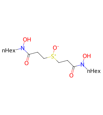 CCCCCCN(O)C(=O)CC[S+]([O-])CCC(=O)N(O)CCCCCC